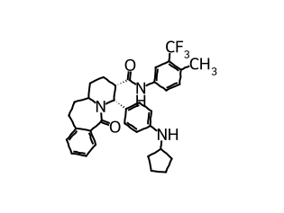 Cc1ccc(NC(=O)[C@H]2CCC3CCc4ccccc4C(=O)N3[C@H]2c2ccc(NC3CCCC3)cc2)cc1C(F)(F)F